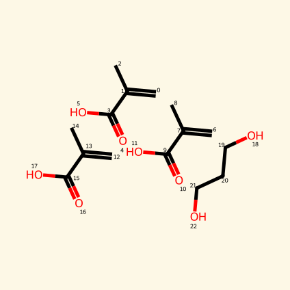 C=C(C)C(=O)O.C=C(C)C(=O)O.C=C(C)C(=O)O.OCCCO